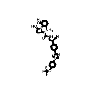 Cc1cccc(C)c1N1/C(=N/C(=O)NCC(C#N)c2ccc(-c3ncn(-c4ccc(OC(F)(F)F)cc4)n3)cc2)SCC1O